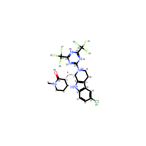 CN1CCC[C@@H](C[C@H]2c3[nH]c4ccc(Cl)cc4c3CCN2c2nc(C(F)(F)F)nc(C(F)(F)F)n2)C1=O